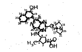 CC1CN(C(=O)O)CC1Nc1nc(OCC23CCCN2CCC3)nc2c(F)c(-c3cc(O)cc4ccccc34)ncc12